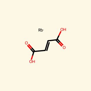 O=C(O)C=CC(=O)O.[Rb]